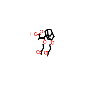 CC(C(=O)O)=C(OCCC1CO1)C12CC3CC(CC(OCCC4CO4)(C3)C1)C2